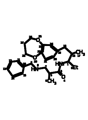 CCC(NC(=O)C(C)CNCc1ccccc1)C(C)Cc1ccc2c(c1)OCCCO2